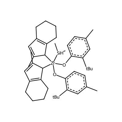 CC1=CC2=C(CCCC2)[CH]1[Zr]([O]c1ccc(C)cc1C(C)(C)C)([O]c1ccc(C)cc1C(C)(C)C)([CH]1C(C)=CC2=C1CCCC2)[SiH](C)C